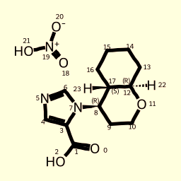 O=C(O)c1cncn1[C@@H]1CCO[C@@H]2CCCC[C@@H]12.O=[N+]([O-])O